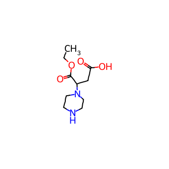 CCOC(=O)C(CC(=O)O)N1CCNCC1